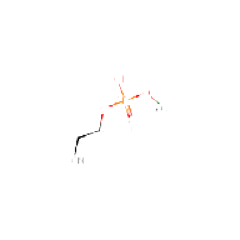 N#CCCOP(=O)(O)OCl